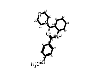 COc1ccc(C(=O)NC2CCCCC2CN2CCOCC2)cc1